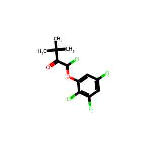 CC(C)(C)C(=O)C(Cl)Oc1cc(Cl)cc(Cl)c1Cl